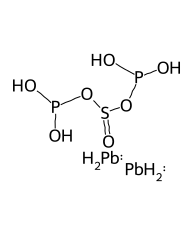 O=S(OP(O)O)OP(O)O.[PbH2].[PbH2]